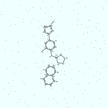 Cc1cc(-c2cnn(C)c2)ccc1CN1CCC[C@@H]1c1ccc2nccnc2c1